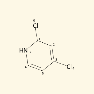 Cl[C]1C=C(Cl)C=CN1